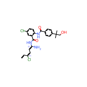 C=C/C(Cl)=C\C=C(/N)NC(=O)c1cc(Cl)ccc1NC(=O)c1ccc(C(C)(C)CO)cc1